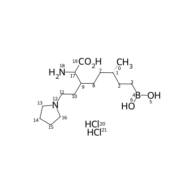 C[C@H](CCB(O)O)CCC(CCN1CCCC1)C(N)C(=O)O.Cl.Cl